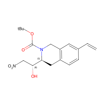 C=Cc1ccc2c(c1)CN(C(=O)OC(C)(C)C)[C@H]([C@H](O)C[N+](=O)[O-])C2